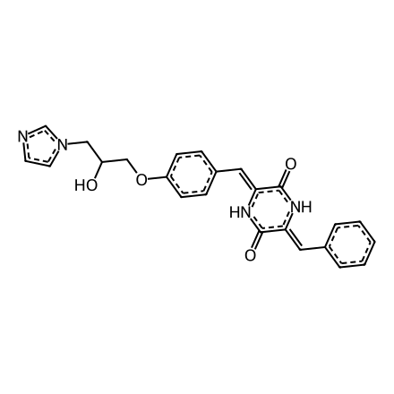 O=c1[nH]/c(=C\c2ccc(OCC(O)Cn3ccnc3)cc2)c(=O)[nH]/c1=C\c1ccccc1